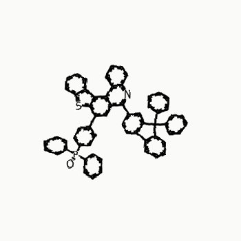 O=P(c1ccccc1)(c1ccccc1)c1ccc(-c2cc3c(-c4ccc5c(c4)C(c4ccccc4)(c4ccccc4)c4ccccc4-5)nc4ccccc4c3c3c2sc2ccccc23)cc1